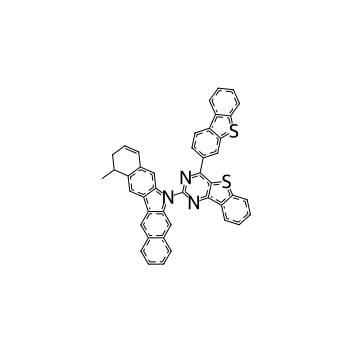 CC1CC=Cc2cc3c(cc21)c1cc2ccccc2cc1n3-c1nc(-c2ccc3c(c2)sc2ccccc23)c2sc3ccccc3c2n1